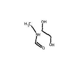 CNC=O.OCCO